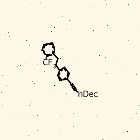 CCCCCCCCCCC#Cc1ccc(C[CH]c2ccccc2C(F)(F)F)cc1